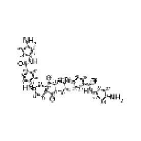 Nc1ccc(NC(=O)c2ccc(Nc3ccc4c(c3)C(=O)c3cc(Nc5ccc(C(=O)Nc6ccc(N)cc6)cc5)ccc3C4=O)cc2)cc1